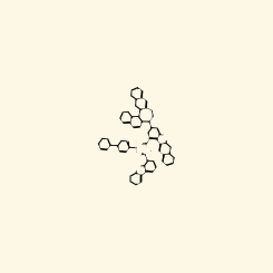 c1ccc(-c2ccc(C3N=C(c4cccc5c4sc4ccccc45)N=C(c4cc(C5CCc6cc7ccccc7cc6-c6c5ccc5ccccc65)cc5oc6cc7ccccc7cc6c45)N3)cc2)cc1